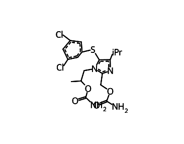 CC(Cn1c(COC(N)=O)nc(C(C)C)c1Sc1cc(Cl)cc(Cl)c1)OC(N)=O